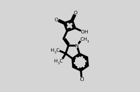 CN1C(=Cc2c(O)c(=O)c2=O)C(C)(C)c2cc(Cl)ccc21